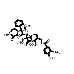 CCN1CCN([C@@](NC=O)(C(=O)N[C@]2(NC=O)C(=O)N3C(C(=O)O)=C(COC(=O)c4ccc(OC(C)=O)c(OC(C)=O)c4)CS[C@@H]32)c2ccccc2)C(=O)C1=O